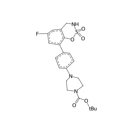 CC(C)(C)OC(=O)N1CCN(c2ccc(-c3cc(F)cc4c3OS(=O)(=O)NC4)cc2)CC1